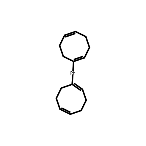 C1=C\CC/[C]([Rh]/[C]2=C/CC/C=C\CC2)=C\CC/1